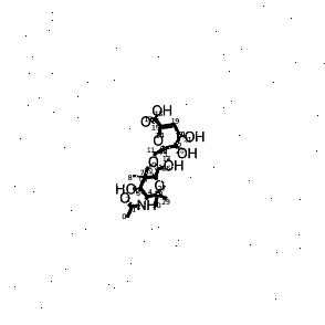 CC(=O)NC1[C@H](O)[C@](C)(COC[C@@]2(C)OC(C(=O)O)=C[C@@H](O)C2O)C(CO)OC1(C)C